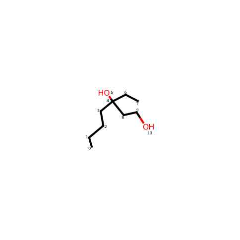 CCCCC(O)(CC)CCO